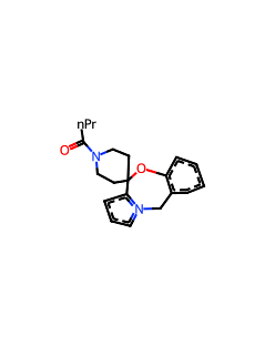 CCCC(=O)N1CCC2(CC1)Oc1ccccc1Cn1cccc12